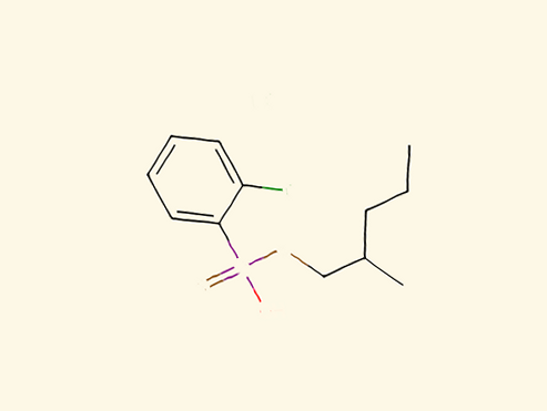 CCCC(C)CSP(O)(=S)c1ccccc1Cl.Cl